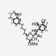 CO[C@H](C)CN(CCCCc1ccc2c(n1)NCCC2)CC[C@H](Nc1ccnc(C(F)(F)F)[n+]1O)C(C)=O